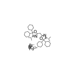 CC(C)[C@H]1N=C(CC2=N[C@H](C(C)C)C(C3CCCCC3)(C3CCCCC3)O2)OC1(C1CCCCC1)C1CCCCC1.[Br-].[Br-].[Pd+2]